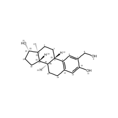 C[C@]12CC[C@@H]3c4cc(CO)c(O)cc4CC[C@H]3[C@@H]1CC[C@@H]2O